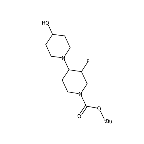 CC(C)(C)OC(=O)N1CCC(N2CCC(O)CC2)C(F)C1